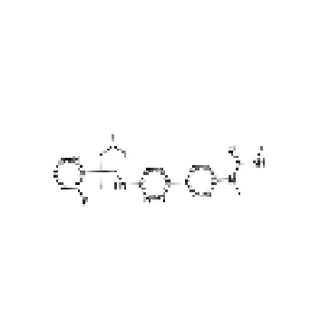 CNC(=O)N(C)c1ccc(-c2ccc(NC[C@](C)(C[C@H](C)F)c3ncccc3F)nn2)cc1